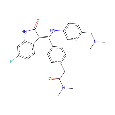 CN(C)Cc1ccc(N/C(=C2\C(=O)Nc3cc(F)ccc32)c2ccc(CC(=O)N(C)C)cc2)cc1